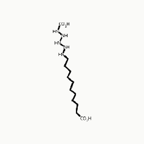 O=C(O)CCCCCCCCCCNNNNNC(=O)O